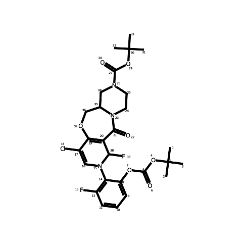 CC(C)(C)OC(=O)Oc1cccc(F)c1N1C=C(Cl)C2=C(C(=O)N3CCN(C(=O)OC(C)(C)C)CC3CO2)C1F